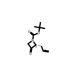 C=CC[C@@H]1C(=O)CN1C(=O)OC(C)(C)C